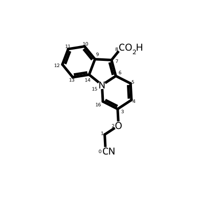 N#CCOc1ccc2c(C(=O)O)c3ccccc3n2c1